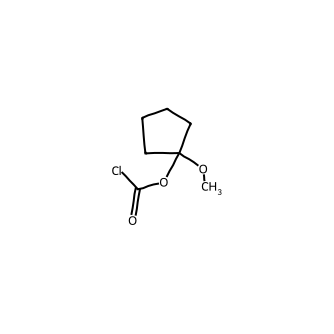 COC1(OC(=O)Cl)CCCC1